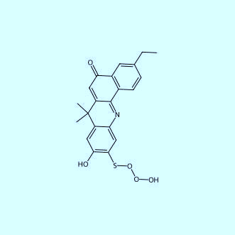 CCc1ccc2c(c1)C(=O)C=C1C2=Nc2cc(SOOO)c(O)cc2C1(C)C